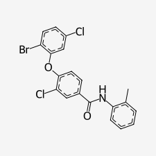 Cc1ccccc1NC(=O)c1ccc(Oc2cc(Cl)ccc2Br)c(Cl)c1